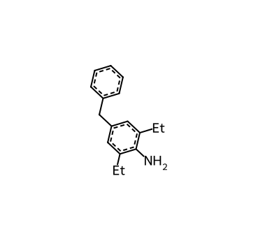 CCc1cc(Cc2ccccc2)cc(CC)c1N